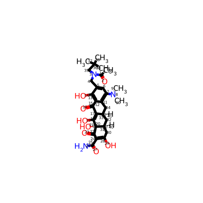 CC(=O)N(Cc1cc(N(C)C)c2c(c1O)C(=O)C1=C(O)[C@]3(O)C(=O)C(C(N)=O)=C(O)C[C@@H]3C[C@@H]1C2)CC(C)(C)C